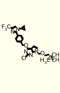 C[Si](C)(C)CCOCn1ccc2c(OCc3ccc(-c4nc(C(F)(F)F)cn4C4CC4)cc3)nc(Cl)nc21